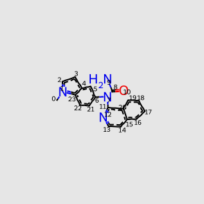 Cn1ccc2cc(N(C(N)=O)c3nccc4ccccc34)ccc21